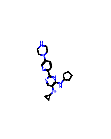 c1cc(-c2ncc(NC3CC3)c(NC3CCCC3)n2)ncc1N1CCNCC1